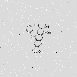 Oc1cc2c(Sc3ccccc3)c3cc4c(cc3cc2c(O)c1O)OCO4